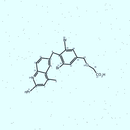 CCCc1cc(C)c2cc(Cc3c(Br)cc(COCC(=O)O)cc3Br)ccc2n1